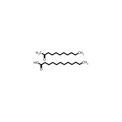 CCCCCCCCCC(C)=O.CCCCCCCCCCCC(=O)O